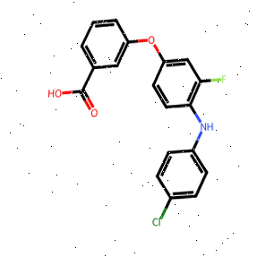 O=C(O)c1cccc(Oc2ccc(Nc3ccc(Cl)cc3)c(F)c2)c1